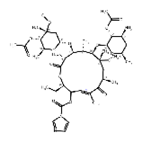 CC[C@H]1OC(=O)[C@H](C)[C@@H](O[C@H]2C[C@@](C)(OC)[C@@H](OC(C)=O)[C@H](C)O2)[C@H](C)[C@@H](O[C@@H]2O[C@H](C)C[C@H](N)[C@H]2OC(C)=O)[C@](C)(OC)C[C@@H](C)C(=O)/C(C)=C/C1OC(=O)n1ccnc1